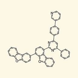 c1ccc(-c2cc(-c3ccc(-c4cccnc4)cc3)nc(-c3ccc(-c4ccc5oc6ccccc6c5c4)c4oc5ccccc5c34)n2)cc1